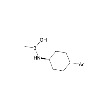 CB(O)N[C@H]1CC[C@H](C(C)=O)CC1